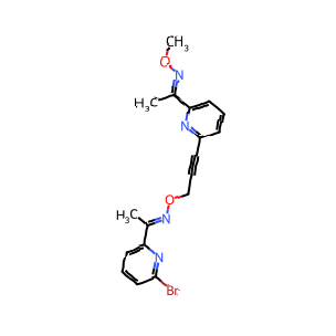 CO/N=C(\C)c1cccc(C#CCO/N=C(\C)c2cccc(Br)n2)n1